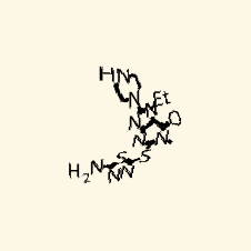 CCn1c(N2CCNCC2)nc2nc(Sc3nnc(N)s3)n(C)c(=O)c21